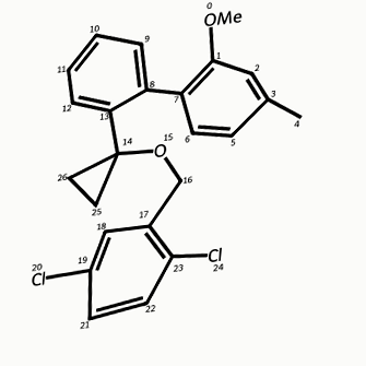 COc1cc(C)ccc1-c1ccccc1C1(OCc2cc(Cl)ccc2Cl)CC1